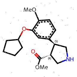 COC(=O)[C@H]1CNC[C@@H]1c1ccc(OC)c(OC2CCCC2)c1